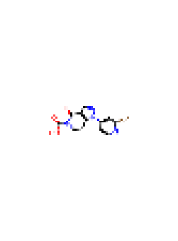 O=C(O)N1CCc2c(cnn2-c2ccnc(Br)c2)C1=O